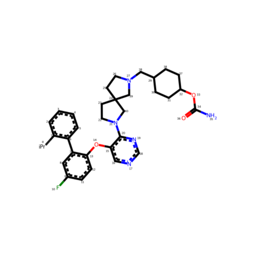 CC(C)c1ccccc1-c1cc(F)ccc1Oc1cncnc1N1CCC2(CCN(CC3CCC(OC(N)=O)CC3)C2)C1